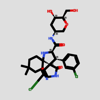 CC1(C)CCC2(CC1)N[C@@H](C(=O)N[C@H]1CO[C@H](CO)[C@@H](O)C1)[C@H](c1cccc(Cl)c1)[C@]21C(=O)Nc2nc(Cl)ccc21